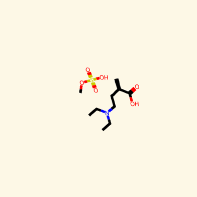 C=C(CCN(CC)CC)C(=O)O.COS(=O)(=O)O